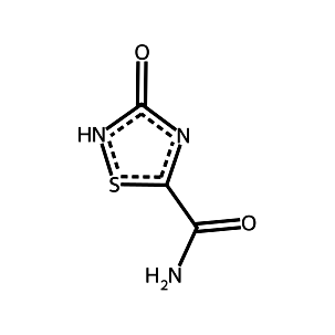 NC(=O)c1nc(=O)[nH]s1